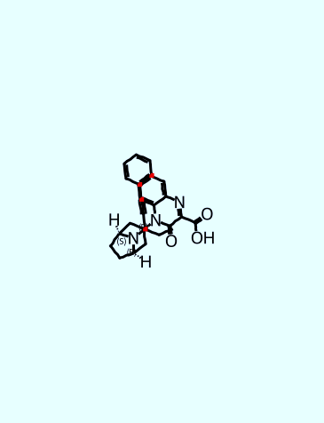 CCC(C#Cc1ccccc1)N1[C@@H]2CC[C@H]1C[C@@H](n1c(=O)c(C(=O)O)nc3ccccc31)C2